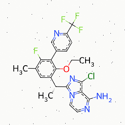 CCOc1c([C@@H](C)c2nc(Cl)c3c(N)nccn23)cc(C)c(F)c1-c1ccc(C(F)(F)F)nc1